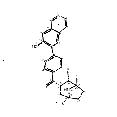 C=C(c1ccc(-c2cc3ccncc3cc2O)nn1)[C@H]1C[C@]2(C)CC[C@@H](N2)[C@H]1F